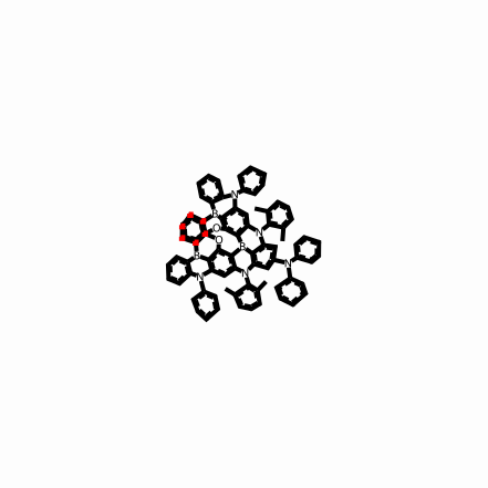 Cc1cccc(C)c1N1c2cc(N(c3ccccc3)c3ccccc3)cc3c2B(c2c1cc1c4c2Oc2ccccc2B4c2ccccc2N1c1ccccc1)c1c(cc2c4c1Oc1ccccc1B4c1ccccc1N2c1ccccc1)N3c1c(C)cccc1C